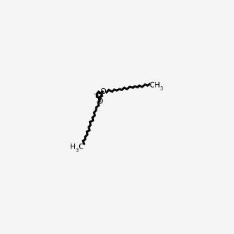 CCCCCCCCCCCCCCCCCCCOc1c[c]cc(OCCCCCCCCCCCCCCCCCCC)c1